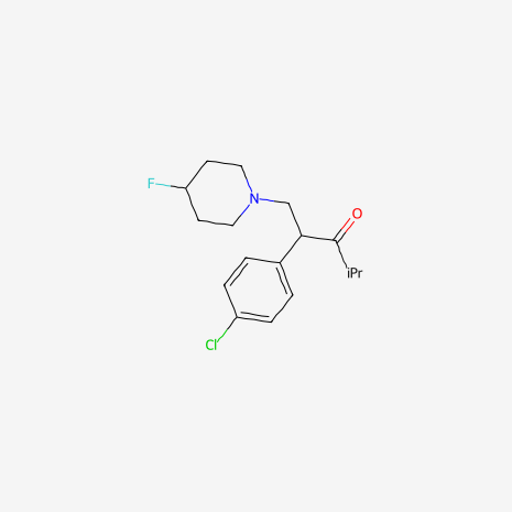 CC(C)C(=O)C(CN1CCC(F)CC1)c1ccc(Cl)cc1